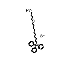 OCCCCOCCCCCCCCCC[P+](c1ccccc1)(c1ccccc1)c1ccccc1.[Br-]